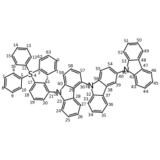 c1ccc(S(c2ccccc2)(c2ccccc2)c2cccc(-n3c4ccccc4c4c(-n5c6ccccc6c6cc(-n7c8ccccc8c8ccccc87)ccc65)cccc43)c2)cc1